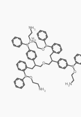 NCCOB(c1ccccc1)c1ccc(C(COCC(Cc2ccccc2B(OCCN)c2ccccc2)c2ccc(B(OCCN)c3ccccc3)cc2)Cc2ccccc2B(OCCN)c2ccccc2)cc1